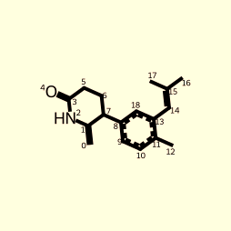 C=C1NC(=O)CCC1c1ccc(C)c(C=C(C)C)c1